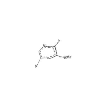 CNc1cc(Br)cnc1F